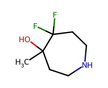 CC1(O)CCNCCC1(F)F